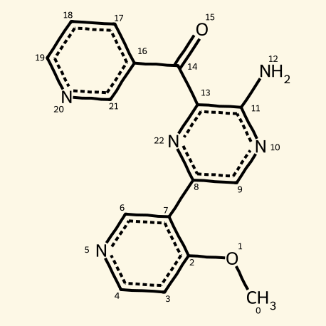 COc1ccncc1-c1cnc(N)c(C(=O)c2cccnc2)n1